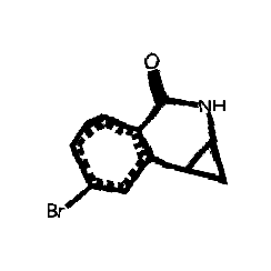 O=C1NC2CC2c2cc(Br)ccc21